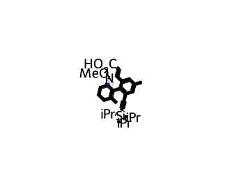 CO/N=C1\CCCC(C)=C1c1c(C#C[Si](C(C)C)(C(C)C)C(C)C)cc(C)cc1C=CC(=O)O